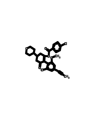 CC#Cc1cc(Cl)c(C2=C(OC(=O)c3ccc(Cl)cc3)CC(C3CCOCC3)CC2=O)c(OC)c1